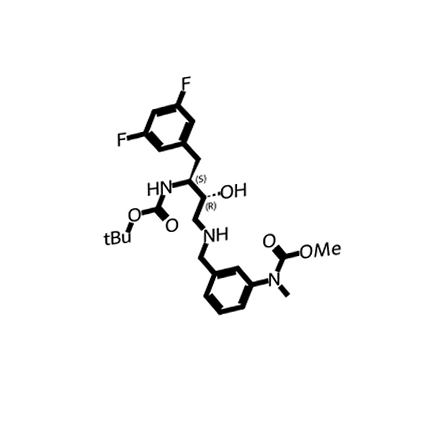 COC(=O)N(C)c1cccc(CNC[C@@H](O)[C@H](Cc2cc(F)cc(F)c2)NC(=O)OC(C)(C)C)c1